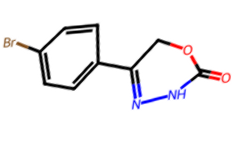 O=C1NN=C(c2ccc(Br)cc2)CO1